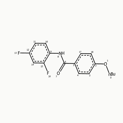 CCCCOc1ccc(C(=O)Nc2ccc(F)cc2F)cc1